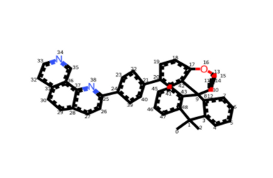 CC1(C)c2ccccc2C2(c3ccccc3Oc3ccc(-c4ccc(-c5ccc6ccc7ccncc7c6n5)cc4)cc32)c2ccccc21